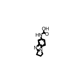 O=C(O)Nc1ccc2c(c1)nc1n2CCC1